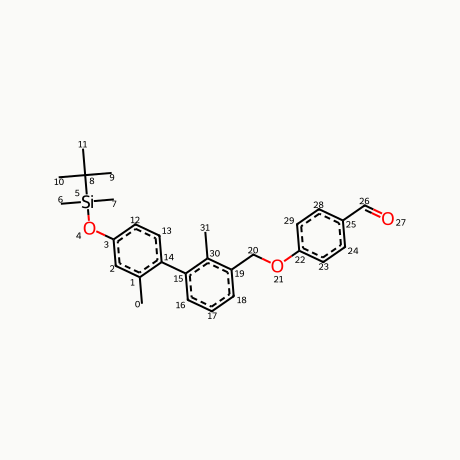 Cc1cc(O[Si](C)(C)C(C)(C)C)ccc1-c1cccc(COc2ccc(C=O)cc2)c1C